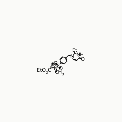 CCOC(=O)[C@@H]([C@H](C)CC)N(C)S(=O)(=O)c1ccc(CN2C=CC(=O)NC2CC)cc1